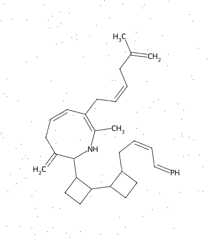 C=C(C)C/C=C\C/C1=C(\C)NC(C2CCC2C2CCC2C/C=C\C=P)C(=C)CC=C1